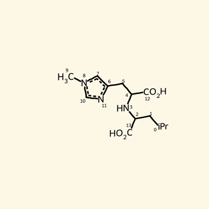 CC(C)CC(NC(Cc1cn(C)cn1)C(=O)O)C(=O)O